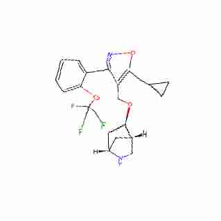 FC(F)(F)Oc1ccccc1-c1noc(C2CC2)c1CO[C@@H]1C[C@@H]2C[C@H]1CN2